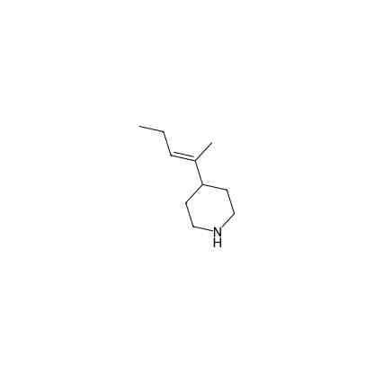 CCC=C(C)C1CCNCC1